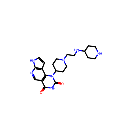 O=c1[nH]c(=O)n(C2CCN(CCNC3CCNCC3)CC2)c2c1cnc1[nH]ccc12